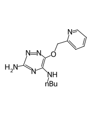 CCCCNc1nc(N)nnc1OCc1ccccn1